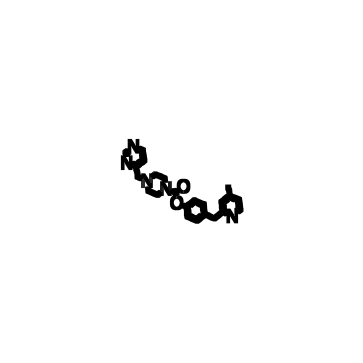 Cc1ccnc(Cc2ccc(OC(=O)N3CCN(Cc4ccncn4)CC3)cc2)c1